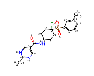 O=C(NC1CCC(F)(S(=O)(=O)c2cccc(C(F)(F)F)c2)CC1)c1cnc(C(F)(F)F)nc1